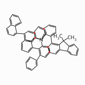 CC1(C)c2ccccc2-c2cccc(-c3ccccc3N(c3ccc(-c4cccc5ccccc45)cc3)c3cccc(-c4ccccc4)c3-c3ccccc3-c3ccccc3)c21